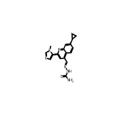 Cn1cncc1-c1cc(/C=N/NC(N)=O)c2ccc(C3CC3)cc2n1